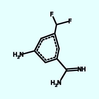 N=C(N)c1cc(N)cc(C(F)F)c1